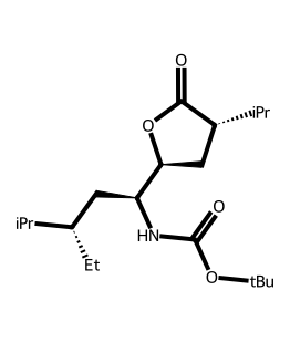 CC[C@@H](C[C@H](NC(=O)OC(C)(C)C)[C@@H]1C[C@@H](C(C)C)C(=O)O1)C(C)C